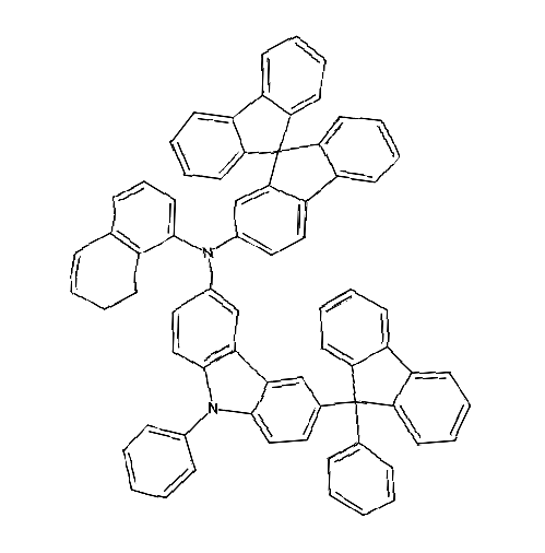 C1=Cc2cccc(N(c3ccc4c(c3)C3(c5ccccc5-c5ccccc53)c3ccccc3-4)c3ccc4c(c3)c3cc(C5(c6ccccc6)c6ccccc6-c6ccccc65)ccc3n4-c3ccccc3)c2CC1